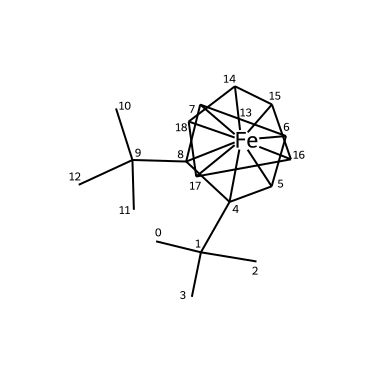 CC(C)(C)[C]12[CH]3[CH]4[CH]5[C]1(C(C)(C)C)[Fe]43521678[CH]2[CH]1[CH]6[CH]7[CH]28